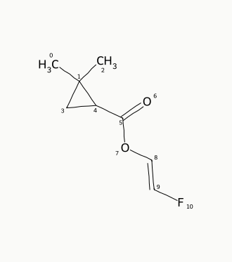 CC1(C)CC1C(=O)O/C=C/F